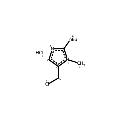 CCCCc1ncc(CCl)n1C.Cl